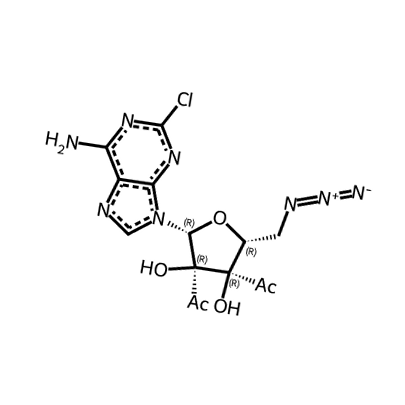 CC(=O)[C@@]1(O)[C@@H](CN=[N+]=[N-])O[C@@H](n2cnc3c(N)nc(Cl)nc32)[C@@]1(O)C(C)=O